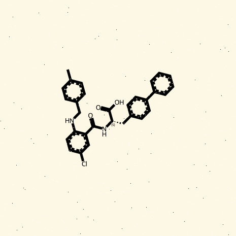 Cc1ccc(CNc2ccc(Cl)cc2C(=O)N[C@@H](Cc2ccc(-c3ccccc3)cc2)C(=O)O)cc1